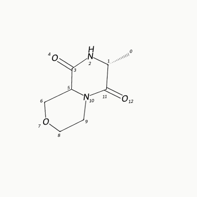 C[C@H]1NC(=O)C2COCCN2C1=O